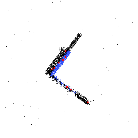 N#C[Se-].N#C[Se-].N#C[Se-].N#C[Se-].N#C[Se-].N#C[Se-].N#C[Se-].N#C[Se-].N#C[Se-].N#C[Se-].N#C[Se-].N#C[Se-].N#C[Se-].N#C[Se-].N#C[Se-].N#C[Se-].N#C[Se-].N#C[Se-].N#C[Se-].N#C[Se-].N#C[Se-].N#C[Se-].N#C[Se-].N#C[Se-].N#C[Se-].N#C[Se-].N#C[Se-].N#C[Se-].N#C[Se-].N#C[Se-].N#C[Se-].N#C[SeH].[K+].[K+].[K+].[K+].[K+].[K+].[K+].[K+].[K+].[K+].[K+].[K+].[K+].[K+].[K+].[K+].[K+].[K+].[K+].[K+].[K+].[K+].[K+].[K+].[K+].[K+].[K+].[K+].[K+].[K+].[K+]